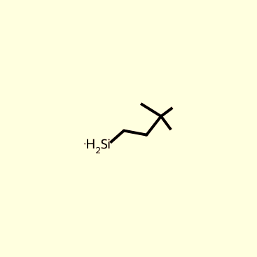 CC(C)(C)CC[SiH2]